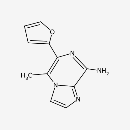 Cc1c(-c2ccco2)nc(N)c2nccn12